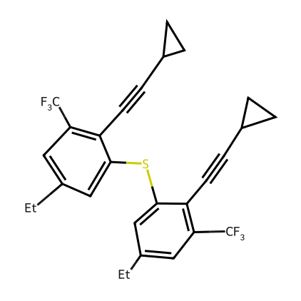 CCc1cc(Sc2cc(CC)cc(C(F)(F)F)c2C#CC2CC2)c(C#CC2CC2)c(C(F)(F)F)c1